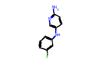 Nc1ccc(Nc2cccc(F)c2)cn1